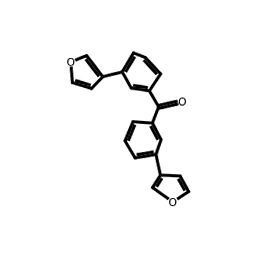 O=C(c1cccc(-c2ccoc2)c1)c1cccc(-c2ccoc2)c1